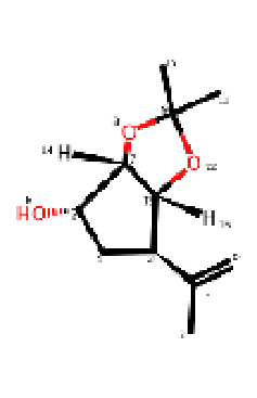 C=C(C)[C@H]1C[C@H](O)[C@@H]2OC(C)(C)O[C@@H]21